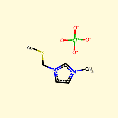 CC(=O)SCn1cc[n+](C)c1.[O-][Cl+3]([O-])([O-])[O-]